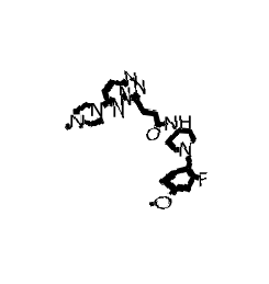 COc1ccc(CN2CCC(NC(=O)CCc3nnc4ccc(N5CCN(C)CC5)nn34)CC2)c(F)c1